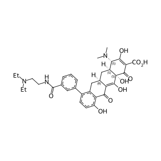 CCN(CC)CCNC(=O)c1cccc(-c2ccc(O)c3c2C[C@H]2C[C@H]4[C@H](N(C)C)C(O)=C(C(=O)O)C(=O)[C@@]4(O)C(O)=C2C3=O)c1